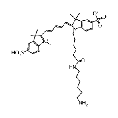 C[N+]1=C(C=CC=CC=C2N(CCCCCC(=O)NCCCCCCN)c3ccc(S(=O)(=O)[O-])cc3C2(C)C)C(C)(C)c2cc(S(=O)(=O)O)ccc21